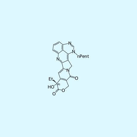 CCCCCN1C=Nc2cccc3nc4c(c1c23)Cn1c-4cc2c(c1=O)COC(=O)[C@@]2(O)CC